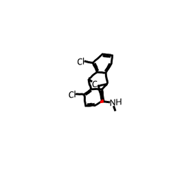 CNCC1CC2c3c(Cl)cccc3C1c1cccc(Cl)c12